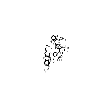 CCCCc1nc2ccc(OC)cc2nc1O[C@H]1CN(C(=O)[C@@H](NC(=O)O[C@@H]2[C@H]3CC[C@H](C3)[C@H]2CC)C(C)(C)C)[C@H](C(=O)O)[C@@H]1CC